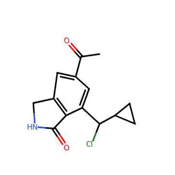 CC(=O)c1cc2c(c(C(Cl)C3CC3)c1)C(=O)NC2